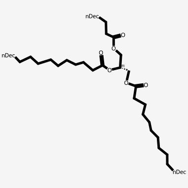 CCCCCCCCCCCCCCCCCCCC(=O)OC[C@@H](COC(=O)CCCCCCCCCCCC)OC(=O)CCCCCCCCCCCCCCCCCCC